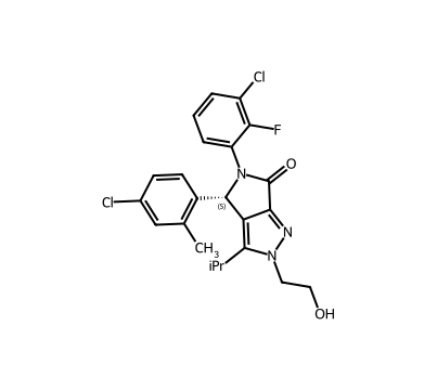 Cc1cc(Cl)ccc1[C@H]1c2c(nn(CCO)c2C(C)C)C(=O)N1c1cccc(Cl)c1F